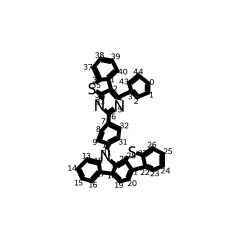 c1ccc(-c2nc(-c3ccc(-n4c5ccccc5c5ccc6c7ccccc7sc6c54)cc3)nc3sc4ccccc4c23)cc1